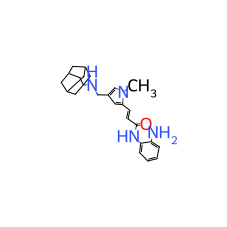 Cn1cc(CNC23CC4CC(CC(C4)C2)C3)cc1C=CC(=O)Nc1ccccc1N